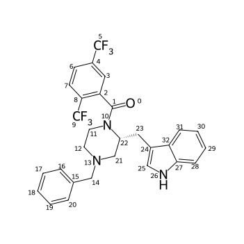 O=C(c1cc(C(F)(F)F)ccc1C(F)(F)F)N1CCN(Cc2ccccc2)C[C@H]1Cc1c[nH]c2ccccc12